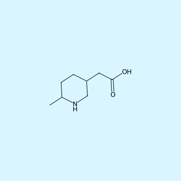 CC1CCC(CC(=O)O)CN1